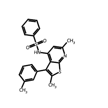 Cc1cccc(-c2c(C)sc3nc(C)cc(NS(=O)(=O)c4ccccc4)c23)c1